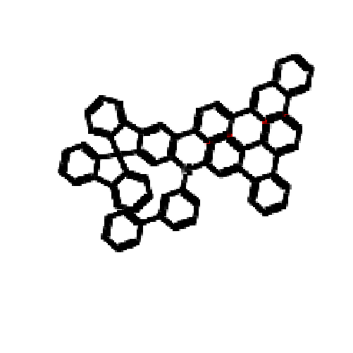 c1ccc(-c2cccc(N(c3ccc4c5ccccc5c5ccccc5c4c3)c3cc4c(cc3-c3ccc(-c5ccc6ccccc6c5)cc3)-c3ccccc3C43c4ccccc4-c4ccccc43)c2)cc1